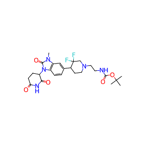 Cn1c(=O)n(C2CCC(=O)NC2=O)c2ccc(C3CCN(CCNC(=O)OC(C)(C)C)CC3(F)F)cc21